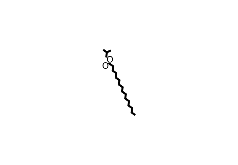 CCCCCCCCCCCCCCCC(=O)OCC(C)C